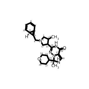 CC1CN(CC2=C3C=CC=C[C@@H]32)CC1C1=NN2C(=CN[C@]2(C)C2CCOCC2)C(=O)N1